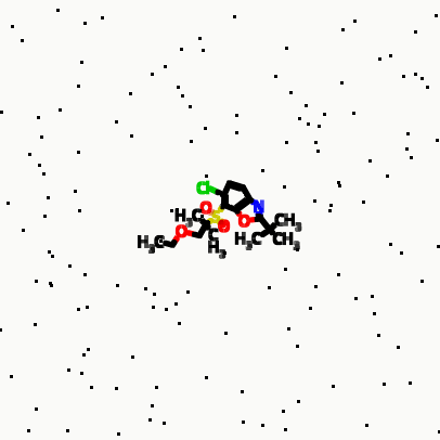 CCOCC(C)(C)S(=O)(=O)c1c(Cl)ccc2nc(C(C)(C)C)oc12